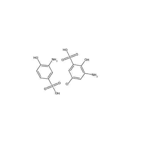 Nc1cc(Cl)cc(S(=O)(=O)O)c1O.Nc1cc(S(=O)(=O)O)ccc1O